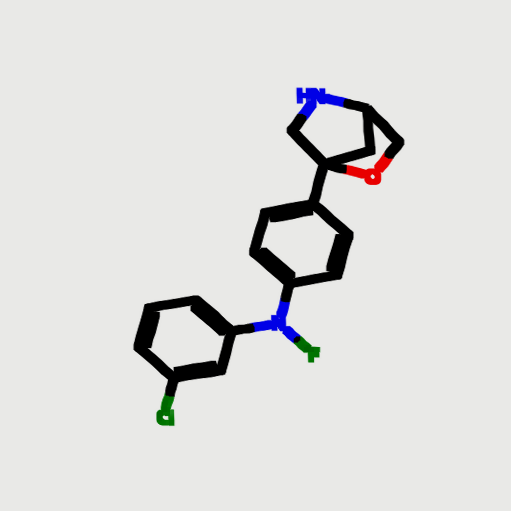 FN(c1ccc(C23CNC(CO2)C3)cc1)c1cccc(Cl)c1